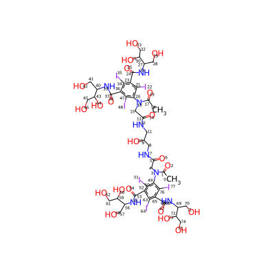 CC(=O)N(CC(=O)NCC(O)CNC(=O)CN(C(C)=O)c1c(I)c(C(=O)NC(CO)C(O)CO)c(I)c(C(=O)NC(CO)C(O)CO)c1I)c1c(I)c(C(=O)NC(CO)C(O)CO)c(I)c(C(=O)NC(CO)C(O)CO)c1I